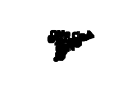 COC(=O)[C@H](C)[C@H](C)n1c(=O)[nH]/c(=N\c2ccc(OCC3CC3)c(Cl)c2)n(Cc2ccc(C)cc2)c1=O